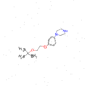 BC(B)(B)OCCOc1ccc(N2CCNCC2)cc1